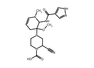 COC1(N2CCN(C(=O)O)C(C#N)C2)CC=CN(C)C1NC(=O)c1cn[nH]c1